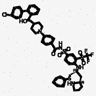 O=C(NS(=O)(=O)c1ccc(N[C@@H](CSc2ccccc2)C[C@H]2CCCN2)c(S(=O)(=O)C(F)(F)F)c1)c1ccc(N2CCC([C@@H](O)c3ccccc3-c3ccc(Cl)cc3)CC2)cc1